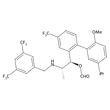 COc1ccc(C(C)C)cc1-c1ccc(C(F)(F)F)cc1[C@@H](OC=O)[C@H](C)NCc1cc(C(F)(F)F)cc(C(F)(F)F)c1